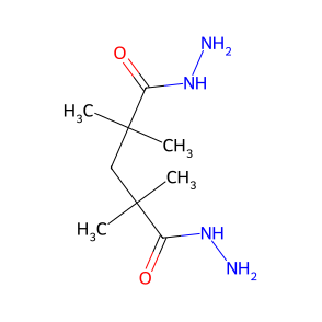 CC(C)(CC(C)(C)C(=O)NN)C(=O)NN